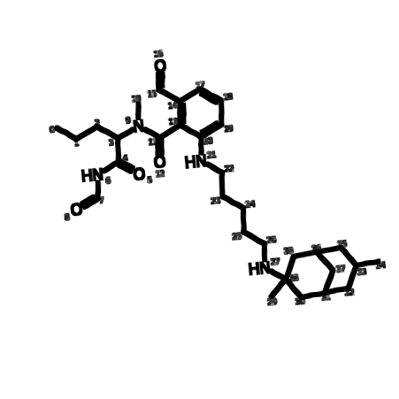 CCCC(C(=O)NC=O)N(C)C(=O)c1c(C=O)cccc1NCCCCCNC1(C)CC2CC(C)CC(C2)C1